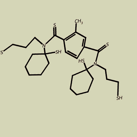 Cc1cc(C(=S)N(CCCS)C2(S)CCCCC2)ccc1C(=S)N(CCCS)C1(S)CCCCC1